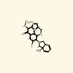 NC12C=CC=CC1CN(c1c(F)cc3c(=O)c(OC(=O)O)c4scc5n4c3c1OC5)C2